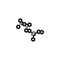 c1ccc(-c2cc(-c3ccc4ccccc4c3)nc(-c3ccc4c(-n5c6ccccc6c6cc7c8ccccc8n(-c8ccccc8)c7cc65)cccc4c3)n2)cc1